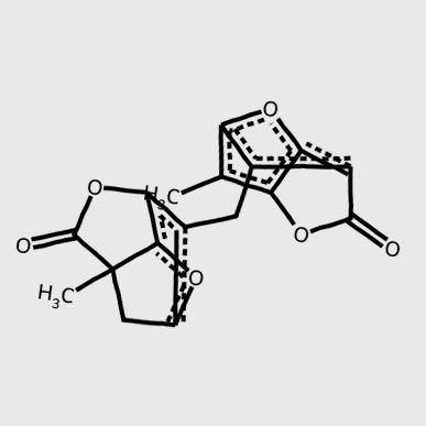 Cc1c2c3oc1c(Cc1c4oc5c1OC(=O)C5(C)C4)c3C(=O)O2